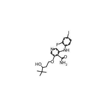 CC(C)(C)C(O)CCOc1cncc(Nc2ccc(I)cc2F)c1C(N)=O